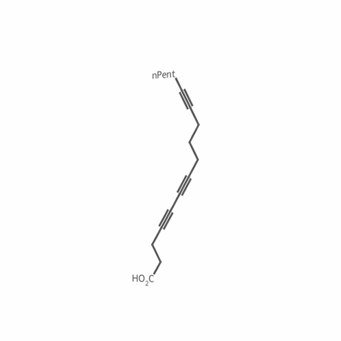 CCCCCC#CCCCC#CC#CCCC(=O)O